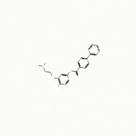 CCCN(CCC)CCOc1cc(NC(=O)c2ccc(-c3ccccc3)cc2)ccc1OC